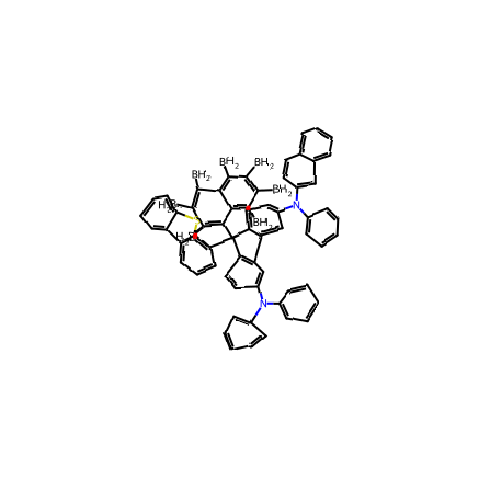 Bc1c(B)c(B)c2c(C3(c4cccc5c4sc4ccccc45)c4ccc(N(c5ccccc5)c5ccccc5)cc4-c4cc(N(c5ccccc5)c5ccc6ccccc6c5)ccc43)c(B)c(B)c(B)c2c1B